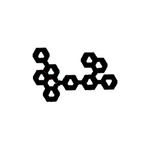 c1ccc(-c2ccc(N(c3ccc(-c4ccc(-c5ccccc5)c(-c5cccc6ccccc56)c4)cc3)c3ccccc3-c3ccccc3)cc2)cc1